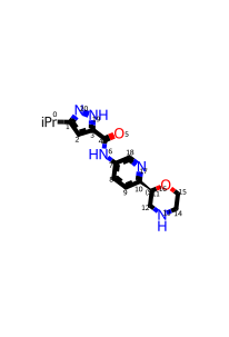 CC(C)c1cc(C(=O)Nc2ccc([C@@H]3CNCCO3)nc2)[nH]n1